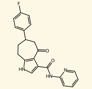 O=C(Nc1ccccn1)c1c[nH]c2c1C(=O)CC(c1ccc(F)cc1)CC2